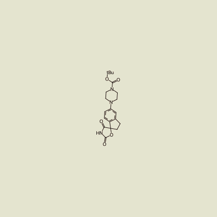 CC(C)(C)OC(=O)N1CCN(c2ccc3c(c2)CCC32OC(=O)NC2=O)CC1